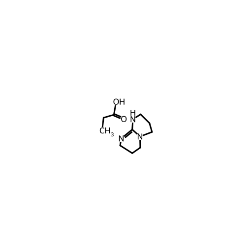 C1CN=C2NCCCN2C1.CCC(=O)O